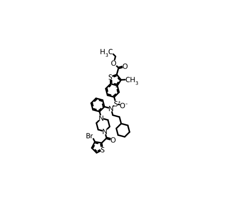 CCOC(=O)c1sc2ccc([S+]([O-])N(CCC3CCCCC3)c3ccccc3N3CCN(C(=O)c4sccc4Br)CC3)cc2c1C